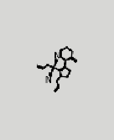 C=CCC1CCC(C2CCCCC2=C)=C1C(C#N)(C#N)CC=C